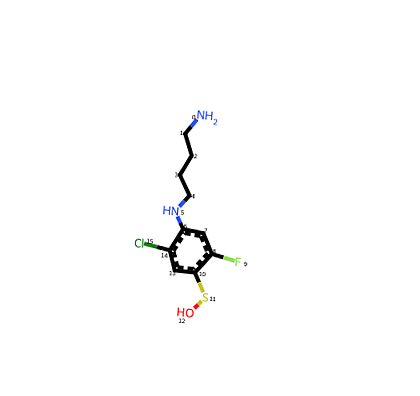 NCCCCNc1cc(F)c(SO)cc1Cl